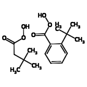 CC(C)(C)CC(=O)OO.CC(C)(C)c1ccccc1C(=O)OO